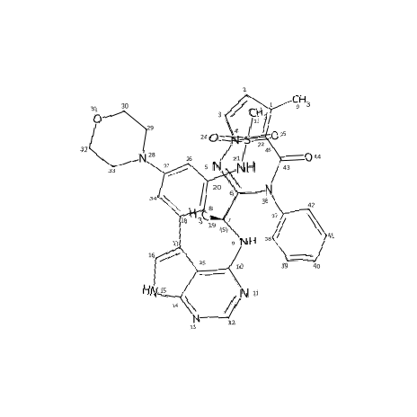 Cc1ccn2nc([C@H](C)Nc3ncnc4[nH]cc(-c5cc(NS(C)(=O)=O)cc(N6CCOCC6)c5)c34)n(-c3ccccc3)c(=O)c12